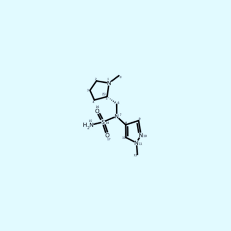 CN1CCC[C@H]1CN(c1cnn(C)c1)S(N)(=O)=O